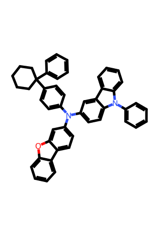 c1ccc(-n2c3ccccc3c3cc(N(c4ccc(C5(c6ccccc6)CCCCC5)cc4)c4ccc5c(c4)oc4ccccc45)ccc32)cc1